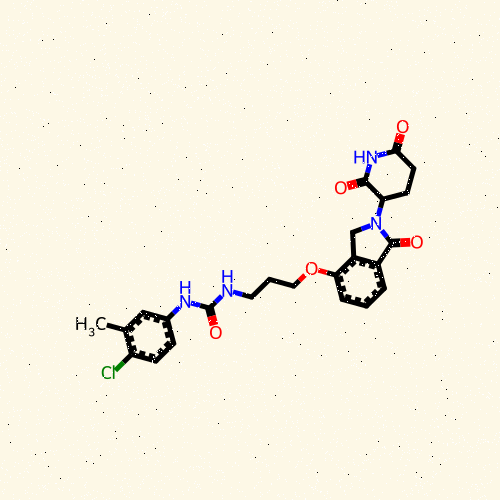 Cc1cc(NC(=O)NCCCOc2cccc3c2CN(C2CCC(=O)NC2=O)C3=O)ccc1Cl